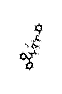 CC(=O)S[C@@H]1[C@H](NC(=O)COc2ccccc2)C(=O)N1C(Cl)C(=O)OC(c1ccccc1)c1ccccc1